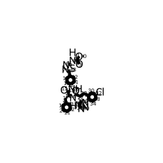 COC(=O)Nc1nnc(-c2ccc(NC(=O)[C@H](Cc3ccccc3)NC(=O)/C=C/c3cc(Cl)ccc3-n3cnnn3)cc2)s1